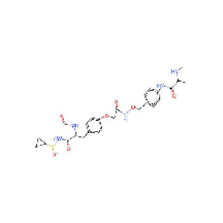 CNC(C)C(=O)Nc1ccc(CONC(=O)COc2ccc(CC(NC=O)C(=O)N[S+]([O-])C3CC3)cc2)cc1